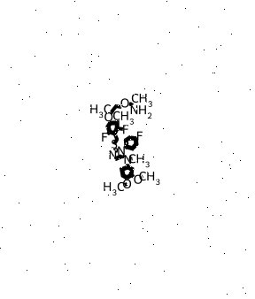 COc1ccc(N(C)c2cnc(SCc3c(F)cc(OC(C)(C)CCOC(C)N)cc3F)n2-c2ccc(F)cc2)cc1OC